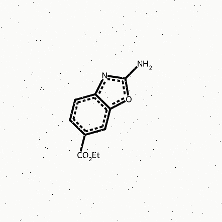 CCOC(=O)c1ccc2nc(N)oc2c1